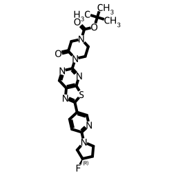 CC(C)(C)OC(=O)N1CCN(c2ncc3nc(-c4ccc(N5CC[C@@H](F)C5)nc4)sc3n2)C(=O)C1